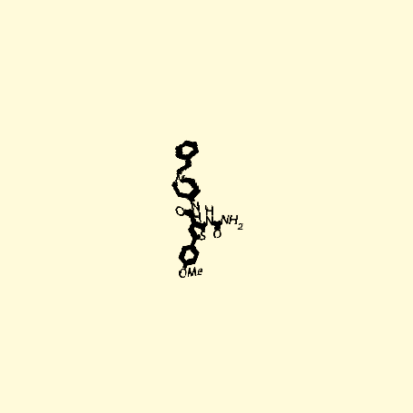 COc1ccc(-c2cc(C(=O)NC3CCN(CCc4ccccc4)CC3)c(NC(N)=O)s2)cc1